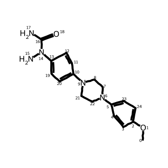 COc1ccc(N2CCN(c3ccc(N(N)C(N)=O)cc3)CC2)cc1